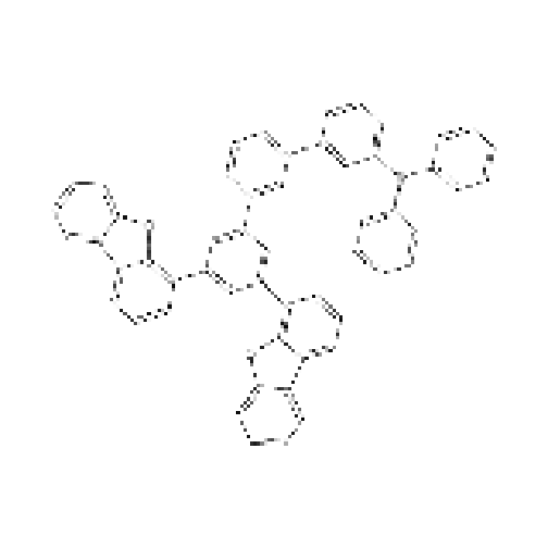 c1ccc(N(c2ccccc2)c2cccc(-c3cccc(-c4cc(-c5cccc6c5oc5ccccc56)cc(-c5cccc6c5oc5ccccc56)c4)c3)c2)cc1